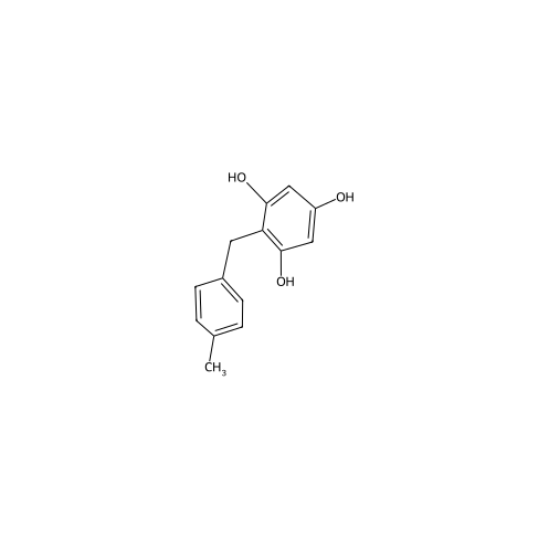 Cc1ccc(Cc2c(O)cc(O)cc2O)cc1